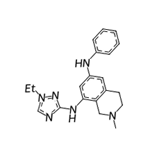 CCn1cnc(Nc2cc(Nc3ccccc3)cc3c2CN(C)CC3)n1